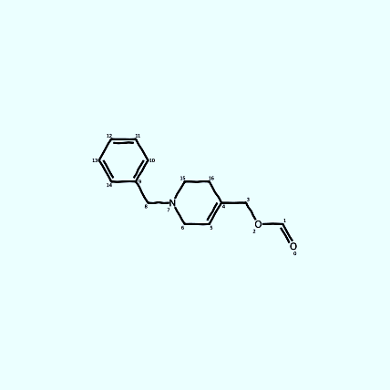 O=COCC1=CCN(Cc2ccccc2)CC1